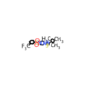 Cc1cc(C)c(-c2csc(N3CCN(S(=O)(=O)c4cccc(C(F)(F)F)c4)CC3)n2)c(C)c1